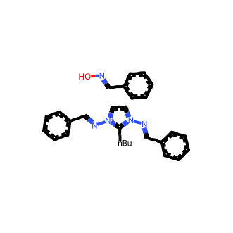 CCCCc1n(N=Cc2ccccc2)cc[n+]1N=Cc1ccccc1.ON=Cc1ccccc1